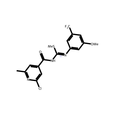 COc1cc(/N=C(/NC(=O)c2cc(C)nc(Cl)c2)SC)cc(C(F)(F)F)c1